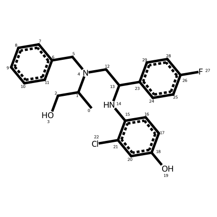 CC(CO)N(Cc1ccccc1)CC(Nc1ccc(O)cc1Cl)c1ccc(F)cc1